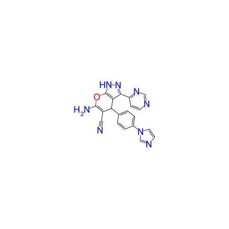 N#CC1=C(N)Oc2[nH]nc(-c3ccncn3)c2C1c1ccc(-n2ccnc2)cc1